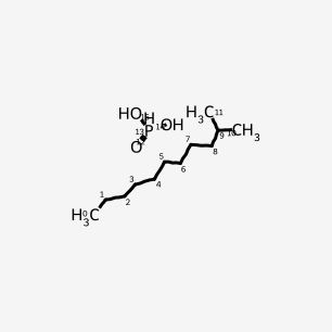 CCCCCCCCCC(C)C.O=[PH](O)O